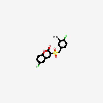 O=c1oc2ccc(Cl)cc2cc1S(=O)(=O)Cc1ccc(Cl)c([N+](=O)[O-])c1